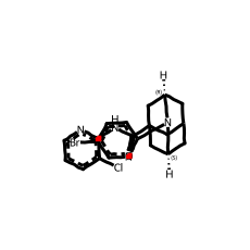 O=C(Nc1ncccc1Cl)C12CC3C[C@H](C1)N(c1ccc(Br)cn1)[C@@H](C3)C2